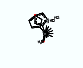 Cl.Cl.[CH3][Zr]([CH3])([CH3])([CH3])([CH3])([CH3])([CH3])([CH3])([CH3])(=[SiH2])([C]1=CC=CC1)[c]1ccc[nH]1